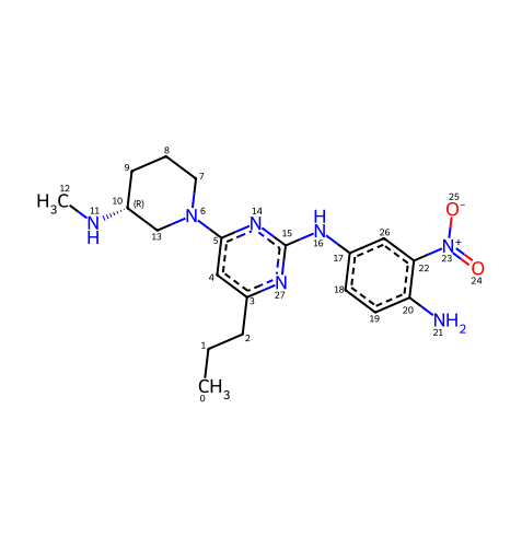 CCCc1cc(N2CCC[C@@H](NC)C2)nc(Nc2ccc(N)c([N+](=O)[O-])c2)n1